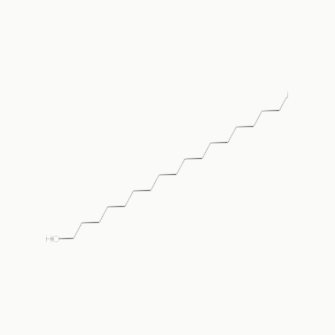 OCCCCCCCCCCCCCCCCCI